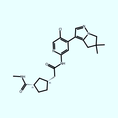 CNC(=O)[C@H]1CC[C@@H](CC(=O)Nc2cc(-c3cnn4c3CC(C)(C)C4)c(Cl)cn2)C1